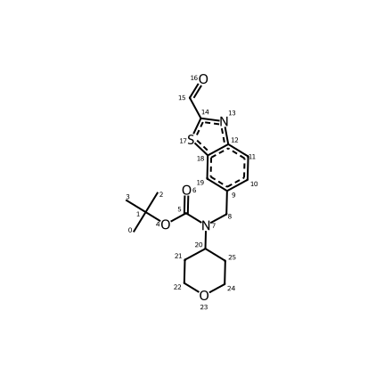 CC(C)(C)OC(=O)N(Cc1ccc2nc(C=O)sc2c1)C1CCOCC1